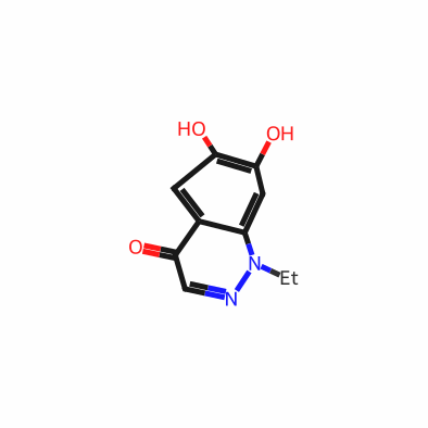 CCn1ncc(=O)c2cc(O)c(O)cc21